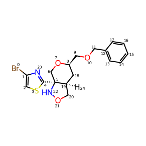 Brc1csc([C@]23CO[C@@H](COCc4ccccc4)C[C@H]2CON3)n1